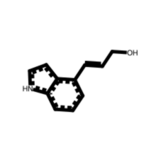 OC/C=C/c1cccc2[nH]ccc12